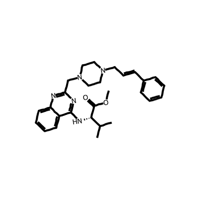 COC(=O)[C@@H](Nc1nc(CN2CCN(C/C=C/c3ccccc3)CC2)nc2ccccc12)C(C)C